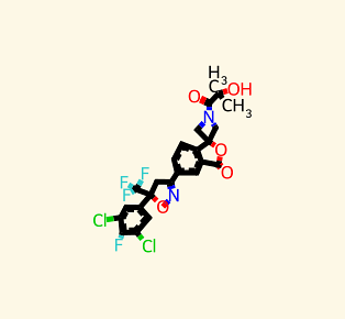 CC(C)(O)C(=O)N1CC2(C1)OC(=O)c1cc(C3=NOC(c4cc(Cl)c(F)c(Cl)c4)(C(F)(F)F)C3)ccc12